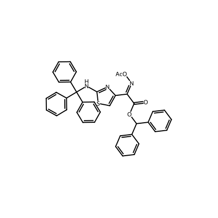 CC(=O)O/N=C(/C(=O)OC(c1ccccc1)c1ccccc1)c1csc(NC(c2ccccc2)(c2ccccc2)c2ccccc2)n1